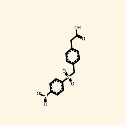 O=C(O)Cc1ccc(CS(=O)(=O)c2ccc([N+](=O)[O-])cc2)cc1